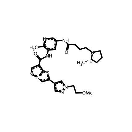 COCCn1cc(-c2cn3ncc(C(=O)Nc4cc(NC(=O)CCCN5CCC[C@@H]5C)cnc4C)c3s2)cn1